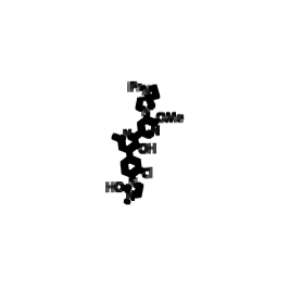 COc1ncc(-c2nc(C)cc(-c3ccc(N4C=CN(C)C4O)c(Cl)c3)c2O)cc1N1CC[C@@]2(CCN2C(C)C)C1